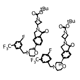 CC(C)(C)OC(=O)N1CC(N2Cc3cc([C@@H]4CN(Cc5cc(F)cc(C(F)(F)F)c5)CCO4)ccc3C2=O)C1.CC(C)(C)OC(=O)N1CC(N2Cc3cc([C@@H]4CN(Cc5cc(F)cc(C(F)(F)F)c5)CCO4)ccc3C2=O)C1